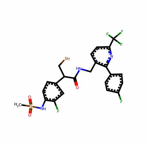 CS(=O)(=O)Nc1ccc(C(CS)C(=O)NCc2ccc(C(F)(F)F)nc2-c2ccc(F)cc2)cc1F